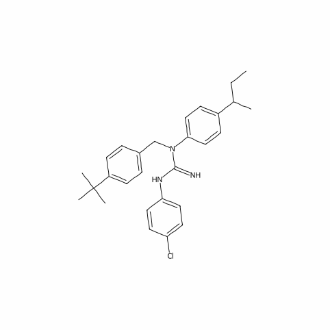 CCC(C)c1ccc(N(Cc2ccc(C(C)(C)C)cc2)C(=N)Nc2ccc(Cl)cc2)cc1